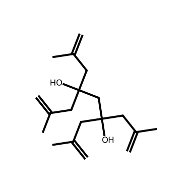 C=C(C)CC(O)(CC(=C)C)CC(O)(CC(=C)C)CC(=C)C